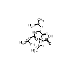 CCC[C@H](NC(=O)[C@@H](CC(C)C)NC(=O)OC(C)C)C(=O)O